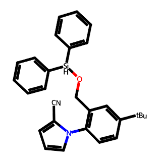 CC(C)(C)c1ccc(-n2cccc2C#N)c(CO[SiH](c2ccccc2)c2ccccc2)c1